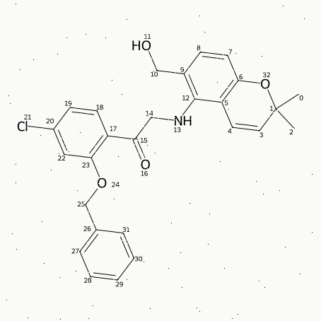 CC1(C)C=Cc2c(ccc(CO)c2NCC(=O)c2ccc(Cl)cc2OCc2ccccc2)O1